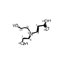 O=C(O)C=CN(CCO)CCO